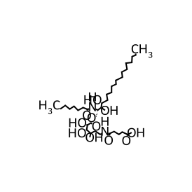 CCCCCCCCCCCCCC[C@@H](O)C(O)[C@H](COC1OC(CNC(=O)CCCC(=O)O)C(O)C(O)C1O)NC(=O)CCCCCCC